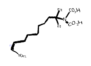 CCCCCCCC/C=C\CCCCCCC(CC)(CC)N(C(=O)O)C(=O)O